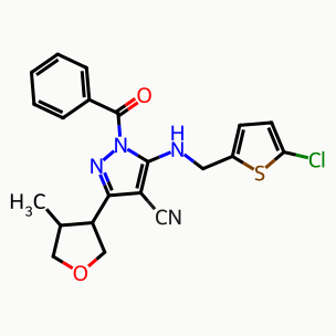 CC1COCC1c1nn(C(=O)c2ccccc2)c(NCc2ccc(Cl)s2)c1C#N